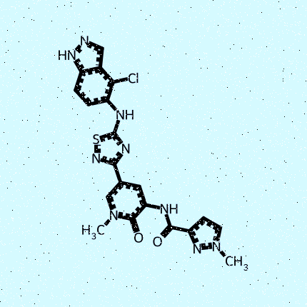 Cn1ccc(C(=O)Nc2cc(-c3nsc(Nc4ccc5[nH]ncc5c4Cl)n3)cn(C)c2=O)n1